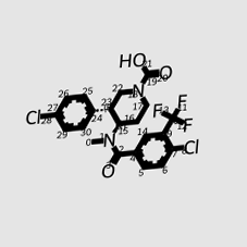 CN(C(=O)c1ccc(Cl)c(C(F)(F)F)c1)[C@@H]1CCN(C(=O)O)C[C@H]1c1ccc(Cl)cc1